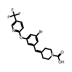 O=C(O)N1CCC(=Cc2cc(Br)cc(Oc3ccc(C(F)(F)F)cn3)c2)CC1